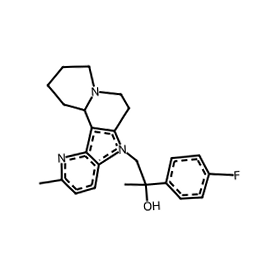 Cc1ccc2c(n1)c1c(n2CC(C)(O)c2ccc(F)cc2)CCN2CCCCC12